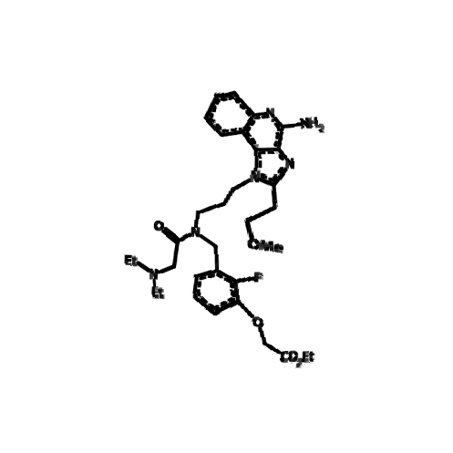 CCOC(=O)COc1cccc(CN(CCCn2c(CCOC)nc3c(N)nc4ccccc4c32)C(=O)CN(CC)CC)c1F